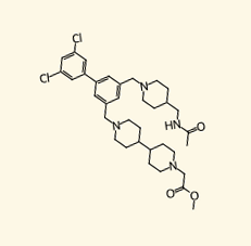 COC(=O)CN1CCC(C2CCN(Cc3cc(CN4CCC(CNC(C)=O)CC4)cc(-c4cc(Cl)cc(Cl)c4)c3)CC2)CC1